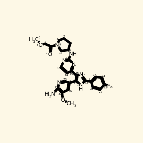 COCC(=O)N1CCC[C@@H](Nc2nccc(-c3nc(-c4ccc(F)cc4)[nH]c3-c3cnc(N)c(OC)c3)n2)C1